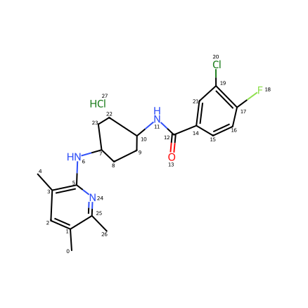 Cc1cc(C)c(NC2CCC(NC(=O)c3ccc(F)c(Cl)c3)CC2)nc1C.Cl